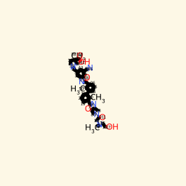 Cc1c(-c2nc3c(o2)CN(C(=O)CN(C)CCO)C3)cccc1-c1cccc(-c2nc3cc(CN4CC[C@@](C)(C(=O)O)C4)cc(C#N)c3o2)c1C